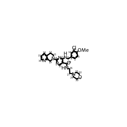 COc1ccc(CNc2nc(N3CCc4cccnc4C3)ncc2C(=O)NCCN2CCOCC2)cc1Cl